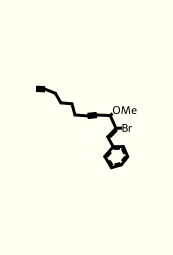 C#CCCCCC#CC(OC)C(Br)=Cc1ccccc1